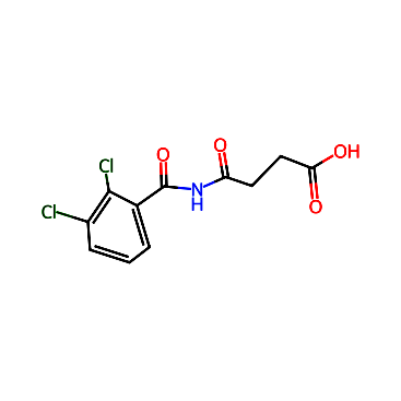 O=C(O)CCC(=O)NC(=O)c1cccc(Cl)c1Cl